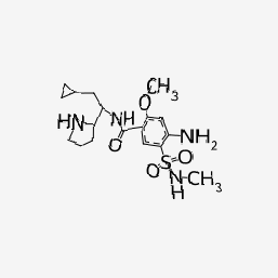 CNS(=O)(=O)c1cc(C(=O)NC(CC2CC2)C2CCCN2)c(OC)cc1N